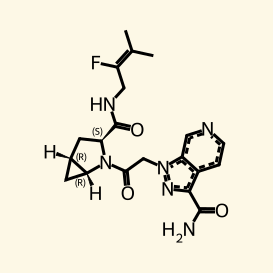 CC(C)=C(F)CNC(=O)[C@@H]1C[C@H]2C[C@H]2N1C(=O)Cn1nc(C(N)=O)c2ccncc21